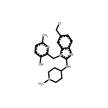 Cc1ccc(O)c(Cn2c(NC3CCN(C)CC3)nc3ccc(CCl)cc32)n1